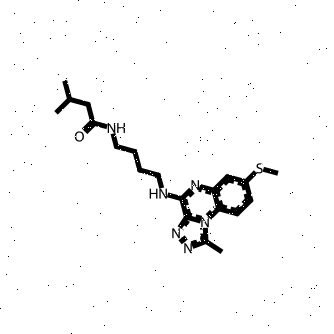 CSc1ccc2c(c1)nc(NCCCCNC(=O)CC(C)C)c1nnc(C)n12